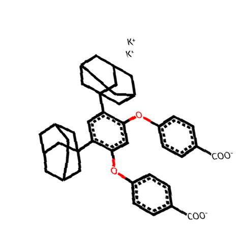 O=C([O-])c1ccc(Oc2cc(Oc3ccc(C(=O)[O-])cc3)c(C34CC5CC(CC(C5)C3)C4)cc2C23CC4CC(CC(C4)C2)C3)cc1.[K+].[K+]